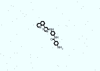 Nc1ccc(C(=O)Nc2ccc(Nc3cc(-c4cccc5cccnc45)ncn3)cc2)cc1